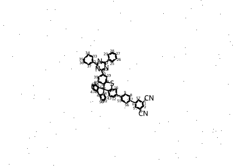 N#Cc1cc(C#N)cc(-c2ccc(-c3ccc4c(c3)Sc3cc(-c5nc(-c6ccccc6)nc(-c6ccccc6)n5)ccc3C43c4ccccc4-c4ccccc43)cc2)c1